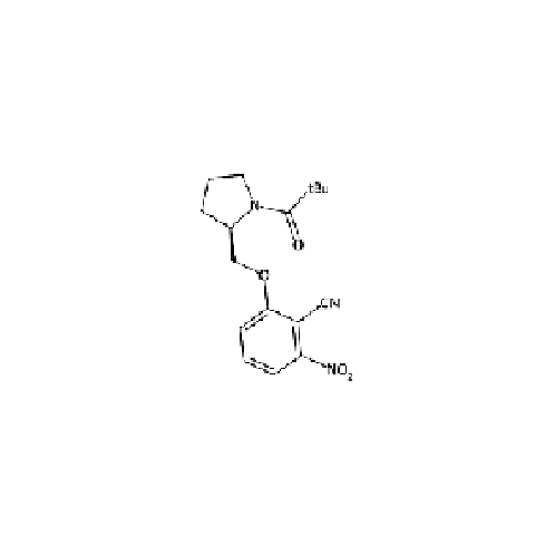 CC(C)(C)C(=O)N1CCC[C@@H]1COc1cccc([N+](=O)[O-])c1C#N